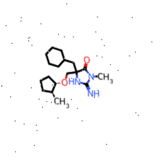 C[C@H]1CCC[C@@H]1OCC1(CC2CCCCC2)NC(=N)N(C)C1=O